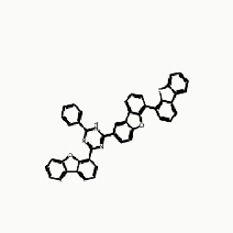 c1ccc(C2N=C(c3cccc4c3oc3ccccc34)N=C(c3ccc4oc5c(-c6cccc7c6sc6ccccc67)cccc5c4c3)N2)cc1